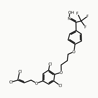 ON=C(c1ccc(OCCCOc2c(Cl)cc(OCC=C(Cl)Cl)cc2Cl)cc1)C(F)(F)F